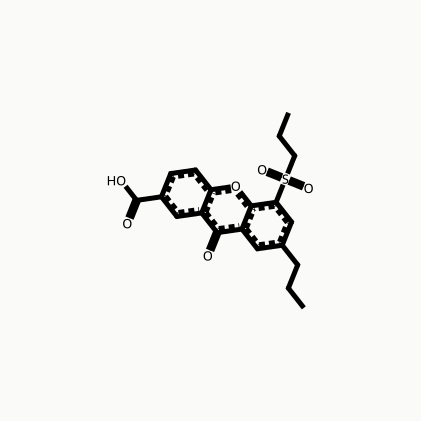 CCCc1cc(S(=O)(=O)CCC)c2oc3ccc(C(=O)O)cc3c(=O)c2c1